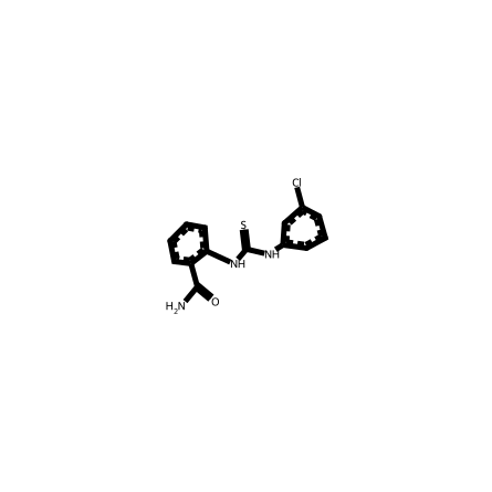 NC(=O)c1ccccc1NC(=S)Nc1cccc(Cl)c1